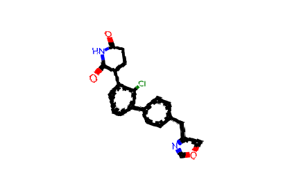 O=C1CCC(c2cccc(-c3ccc(Cc4cocn4)cc3)c2Cl)C(=O)N1